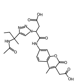 CCC(C)(NC(C)=O)c1cn(C(CC(=O)O)C(=O)Nc2ccc3c(C)c(CC(=O)O)c(=O)oc3c2)nn1